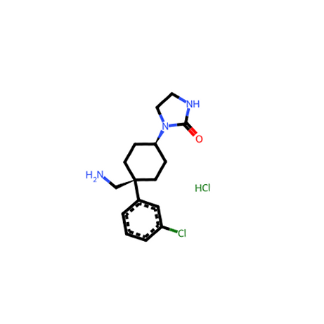 Cl.NC[C@]1(c2cccc(Cl)c2)CC[C@H](N2CCNC2=O)CC1